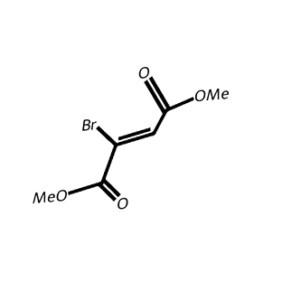 COC(=O)/C=C(\Br)C(=O)OC